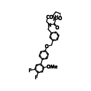 COc1cc(F)c(F)cc1-c1ccc(OCc2cccc(CN(CC(=O)O)C(=O)C3CCCO3)c2)cc1